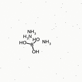 N.N.N.OB(O)O